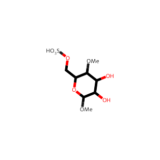 COC1OC(COS(=O)(=O)O)C(OC)C(O)C1O